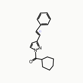 O=C(C1CCCCC1)n1ccc(/C=C/c2ccccc2)n1